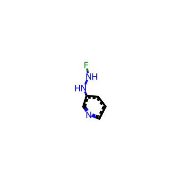 FNNc1cccnc1